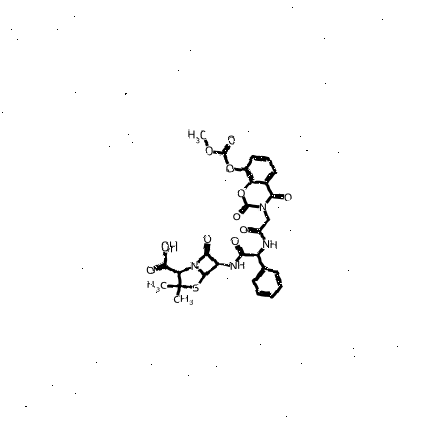 COC(=O)Oc1cccc2c(=O)n(CC(=O)NC(C(=O)N[C@@H]3C(=O)N4C3SC(C)(C)C4C(=O)O)c3ccccc3)c(=O)oc12